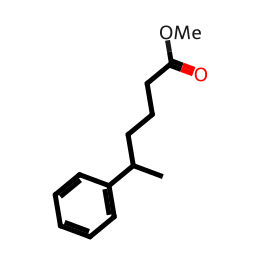 COC(=O)CCCC(C)c1ccccc1